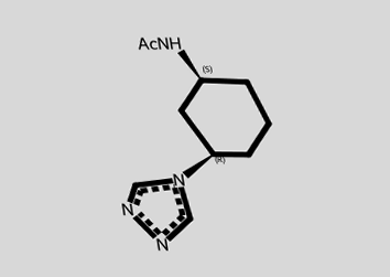 CC(=O)N[C@H]1CCC[C@@H](n2cnnc2)C1